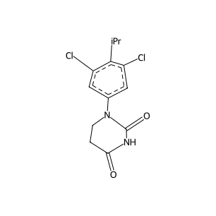 CC(C)c1c(Cl)cc(N2CCC(=O)NC2=O)cc1Cl